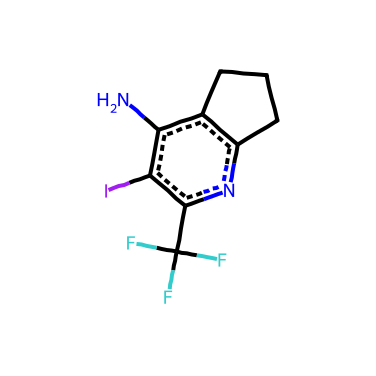 Nc1c(I)c(C(F)(F)F)nc2c1CCC2